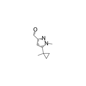 Cn1nc(C=O)cc1C1(C)CC1